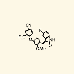 COc1cc(Oc2ccc(C#N)cc2C(F)(F)F)ccc1C=C1C(=O)Nc2ccc(F)cc21